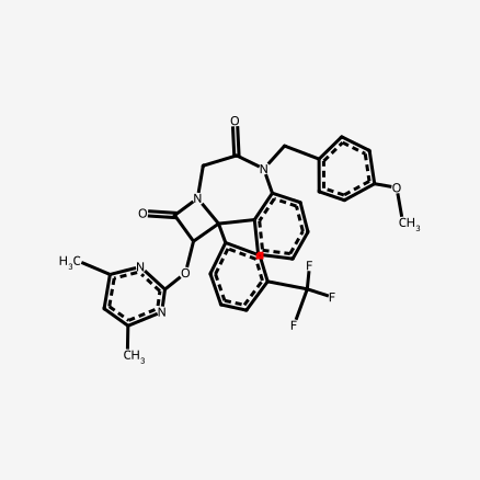 COc1ccc(CN2C(=O)CN3C(=O)C(Oc4nc(C)cc(C)n4)C3(c3cccc(C(F)(F)F)c3)c3ccccc32)cc1